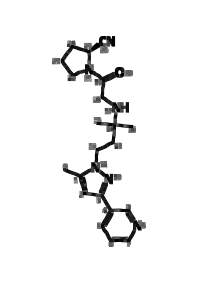 Cc1cc(-c2cccnc2)nn1CCC(C)(C)NCC(=O)N1CCC[C@H]1C#N